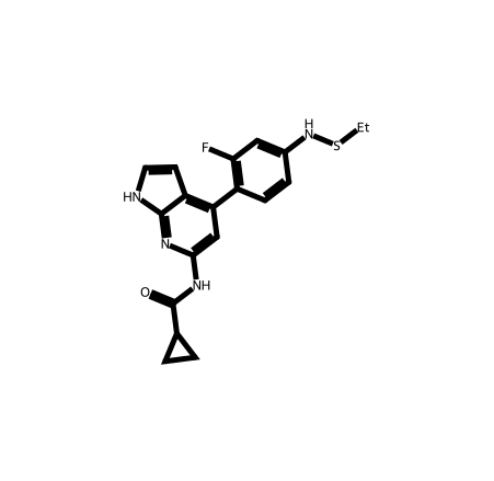 CCSNc1ccc(-c2cc(NC(=O)C3CC3)nc3[nH]ccc23)c(F)c1